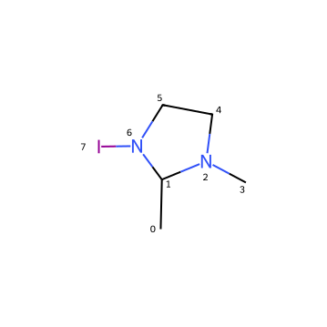 CC1N(C)CCN1I